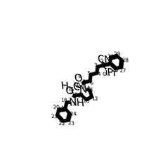 CC(C)[C@@](C#N)(CCCCC(=O)[N@+]1(C)CCCC1C(=O)NCc1ccccc1)c1ccccc1